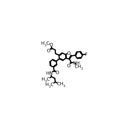 CNC(=O)c1c(-c2ccc(F)cc2)oc2cc(CCC(=O)OC)c(-c3cccc(C(=O)NC(C)CC(C)C)c3)cc12